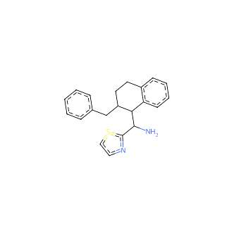 NC(c1nccs1)C1c2ccccc2CCC1Cc1ccccc1